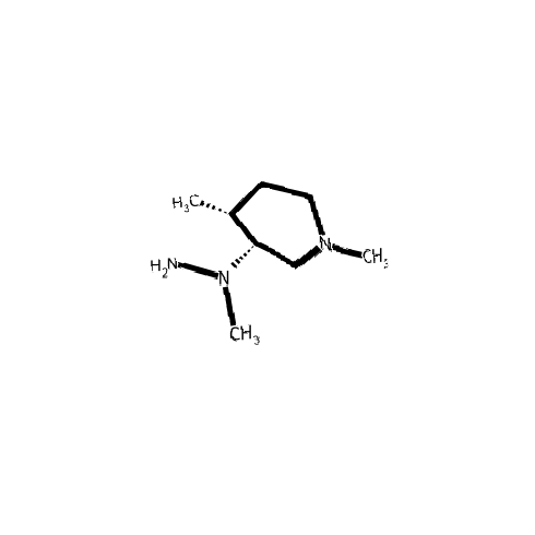 C[C@@H]1CCN(C)C[C@@H]1N(C)N